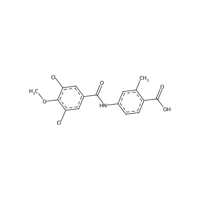 COc1c(Cl)cc(C(=O)Nc2ccc(C(=O)O)c(C)c2)cc1Cl